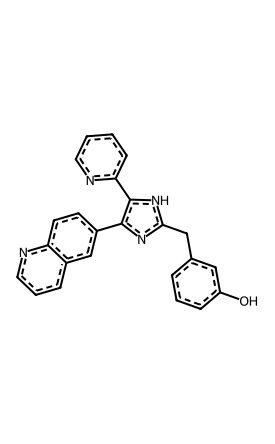 Oc1cccc(Cc2nc(-c3ccc4ncccc4c3)c(-c3ccccn3)[nH]2)c1